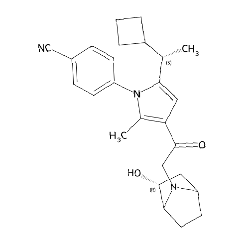 Cc1c(C(=O)CN2C3CCC2[C@H](O)C3)cc([C@@H](C)C2CCC2)n1-c1ccc(C#N)cc1